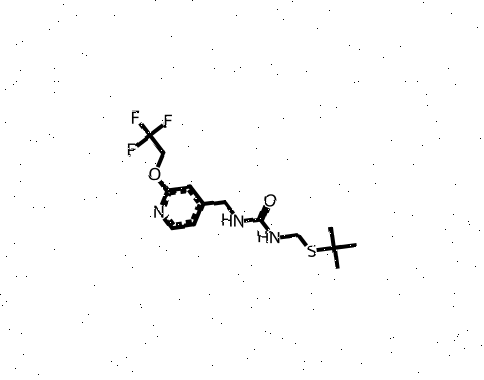 CC(C)(C)SCNC(=O)NCc1ccnc(OCC(F)(F)F)c1